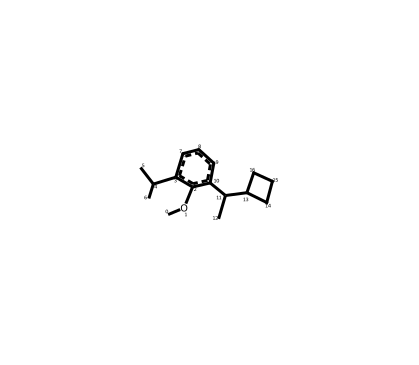 COc1c(C(C)C)cccc1C(C)C1CCC1